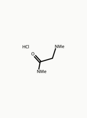 CNCC(=O)NC.Cl